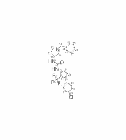 O=C(Nc1cnn(-c2ccc(Cl)cc2)c1C(F)(F)F)NC1CCN(Cc2ccccc2)C1